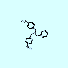 O=[N+]([O-])c1ccc(CN(Cc2ccccc2)Cc2ccc([N+](=O)[O-])cc2)cc1